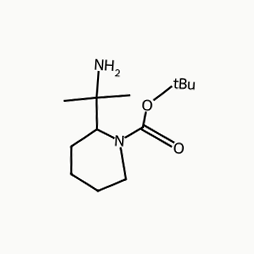 CC(C)(C)OC(=O)N1CCCCC1C(C)(C)N